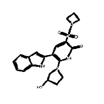 O=c1[nH]c(N2CCC(O)C2)c(-c2cc3ccccc3[nH]2)cc1S(=O)(=O)N1CCC1